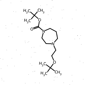 CC(C)(C)OCCN1CCCN(C(=O)OC(C)(C)C)CC1